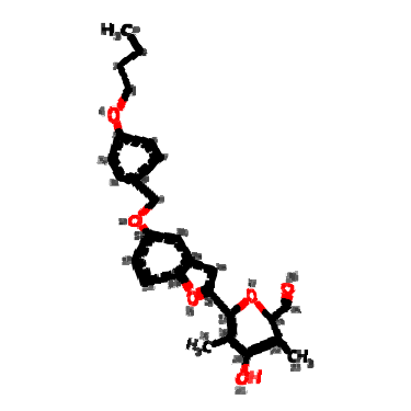 CCCCOc1ccc(COc2ccc3oc(C4=C(C)C(O)=C(C)C(C=O)O4)cc3c2)cc1